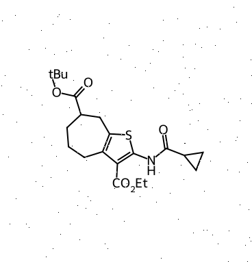 CCOC(=O)c1c(NC(=O)C2CC2)sc2c1CCCC(C(=O)OC(C)(C)C)C2